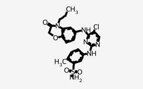 CCCN1C(=O)COc2ccc(Nc3nc(Nc4ccc(C)c(S(N)(=O)=O)c4)ncc3Cl)cc21